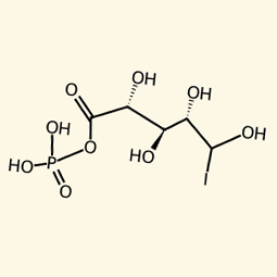 O=C(OP(=O)(O)O)[C@H](O)[C@H](O)[C@H](O)C(O)I